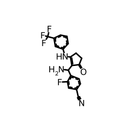 N#Cc1ccc(C(N)C2=C(Nc3cccc(C(F)(F)F)c3)CCC2=O)c(F)c1